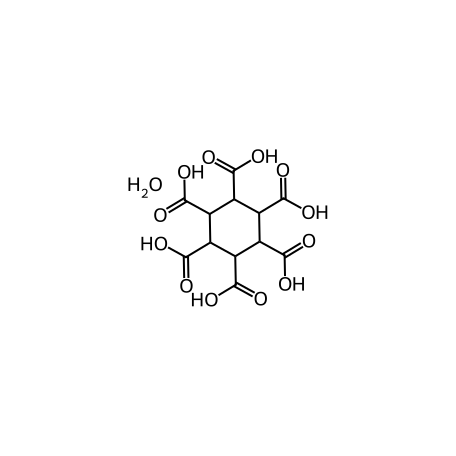 O.O=C(O)C1C(C(=O)O)C(C(=O)O)C(C(=O)O)C(C(=O)O)C1C(=O)O